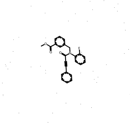 COC(=O)c1cccc(CN(C(=O)C#Cc2ccccc2)c2ccccc2F)c1